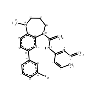 C=N/N=C(\C=C/C)NC(=C)N1CCCN(C)c2ccc(-c3cccc(F)c3)nc21